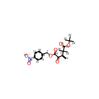 C=C(C(=O)C(=O)OCc1ccc([N+](=O)[O-])cc1)C(C)(C)C(=O)OC(C)(C)C